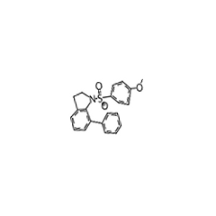 COc1ccc(S(=O)(=O)N2CCc3cccc(-c4ccccc4)c32)cc1